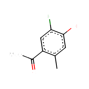 COC(=O)c1cc(F)c(O)cc1C